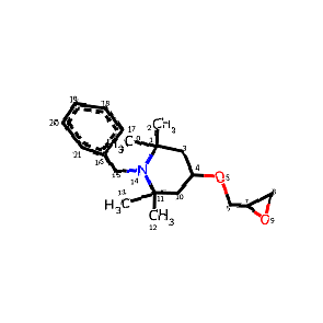 CC1(C)CC(OCC2CO2)CC(C)(C)N1Cc1ccccc1